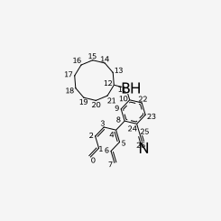 C=C/C=C\C(=C/C=C)c1cc(BC2CCCCCCCCC2)ccc1C#N